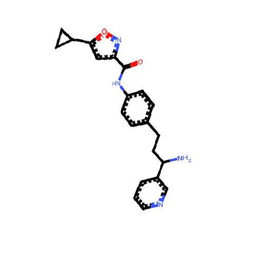 NC(CCc1ccc(NC(=O)c2cc(C3CC3)on2)cc1)c1cccnc1